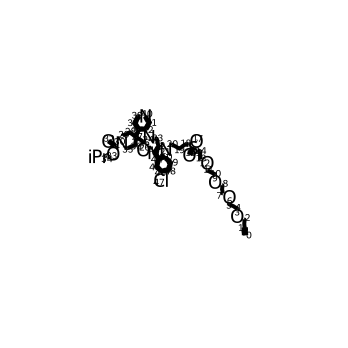 C#CCOCCOCCOCCOCCS(=O)(=O)CCCn1c(CN2C(=O)C3(CCN(C(=O)OC(C)C)CC3)c3ccncc32)nc2cc(Cl)ccc21